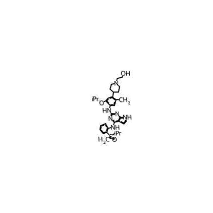 C=S(=O)(c1ccccc1Nc1nc(Nc2cc(C)c(C3CCN(CCO)CC3)cc2OC(C)C)nc2[nH]ccc12)C(C)C